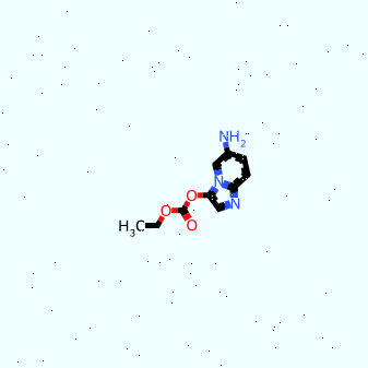 CCOC(=O)Oc1cnc2ccc(N)cn12